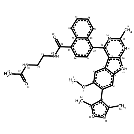 COc1cc2c(cc1-c1c(C)noc1C)[nH]c1nc(C)nc(-c3ccc(C(=O)NCCNC(N)=O)c4ccccc34)c12